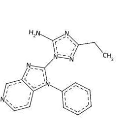 CCc1nc(N)n(-c2nc3cnccc3n2-c2ccccc2)n1